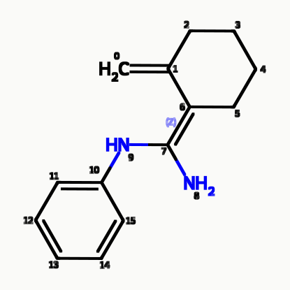 C=C1CCCC/C1=C(\N)Nc1ccccc1